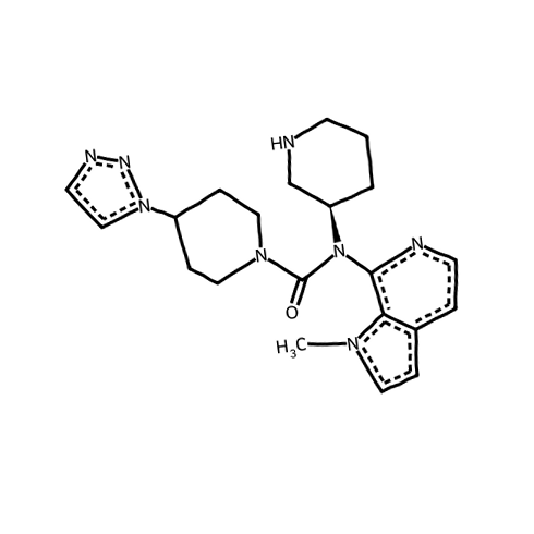 Cn1ccc2ccnc(N(C(=O)N3CCC(n4ccnn4)CC3)[C@@H]3CCCNC3)c21